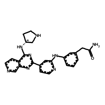 NC(=O)Cc1cccc(Nc2cc(-c3nc(N[C@@H]4CCNC4)c4ccncc4n3)ccn2)c1